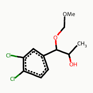 COCOC(c1ccc(Cl)c(Cl)c1)C(C)O